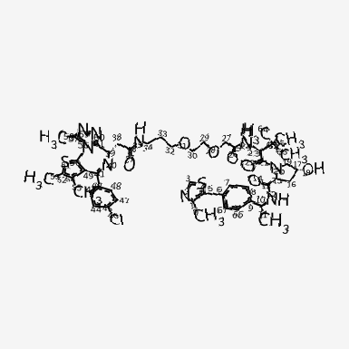 Cc1ncsc1-c1ccc([C@H](C)NC(=O)[C@@H]2C[C@@H](O)CN2C(=O)[C@@H](NC(=O)COCCOCCCNC(=O)C[C@@H]2N=C(c3ccc(Cl)cc3)c3c(sc(C)c3C)-n3c(C)nnc32)C(C)(C)C)cc1